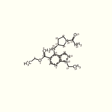 C=C(OCC)c1cnc2c(cnn2CC)c1N[C@H]1CCN(C(N)=O)C1